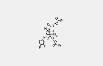 CC(C)C(=O)OCOC(=O)[C@H]1[C@@H]2C[C@@H](CSc3ccc(F)c(F)c3)[C@@](N)(C(=O)OCOC(=O)C(C)C)[C@@H]21